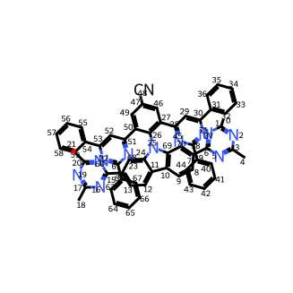 Cc1nc(C)nc(-c2ccc3c4ccc(-c5nc(C)nc(C)n5)cc4n(-c4c(-c5cc(-c6ccccc6)nc(-c6ccccc6)n5)cc(C#N)cc4-c4cc(-c5ccccc5)nc(-c5ccccc5)n4)c3c2)n1